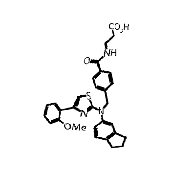 COc1ccccc1-c1csc(N(Cc2ccc(C(=O)NCCC(=O)O)cc2)c2ccc3c(c2)CCC3)n1